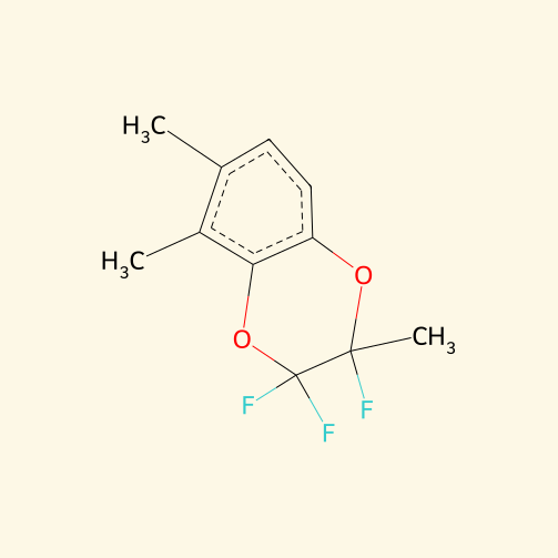 Cc1ccc2c(c1C)OC(F)(F)C(C)(F)O2